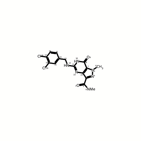 CNC(=O)c1nn(C)c2c(=O)[nH]c(NCc3ccc(Cl)c(Cl)c3)nc12